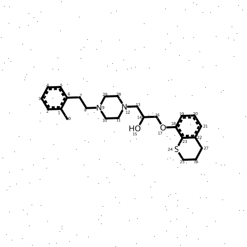 Cc1ccccc1CCN1CCN(CC(O)COc2cccc3c2SCCC3)CC1